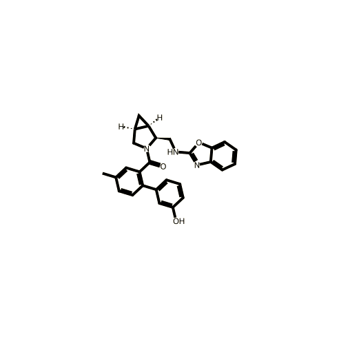 Cc1ccc(-c2cccc(O)c2)c(C(=O)N2C[C@H]3C[C@H]3[C@H]2CNc2nc3ccccc3o2)c1